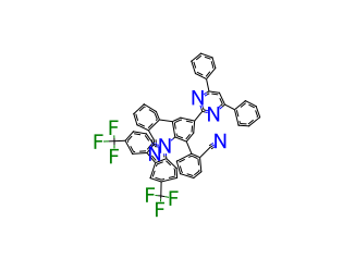 N#Cc1ccccc1-c1cc(-c2nc(-c3ccccc3)cc(-c3ccccc3)n2)cc(-c2ccccc2C#N)c1-n1c2ccc(C(F)(F)F)cc2c2cc(C(F)(F)F)ccc21